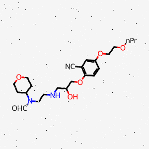 CCCOCCOc1ccc(OCC(O)CNCCN(C=O)C2CCOCC2)c(C#N)c1